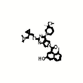 CN(C)CC1(COc2nc3c(c(N4CCC[C@](C)(O)C4)n2)CN(C(=O)c2cc(O)cc4cccc(I)c24)C3)CC1